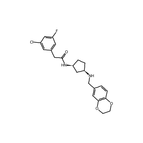 O=C(Cc1cc(F)cc(Cl)c1)N[C@H]1CC[C@@H](NCc2ccc3c(c2)OCCO3)C1